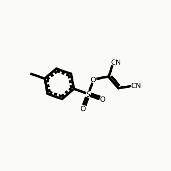 Cc1ccc(S(=O)(=O)OC(C#N)=CC#N)cc1